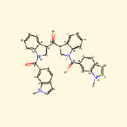 Cn1ccc2ccc(C(=O)N3CC(C(=O)C4CN(C(=O)c5ccc6ccn(C)c6c5)c5ccccc54)c4ccccc43)cc21